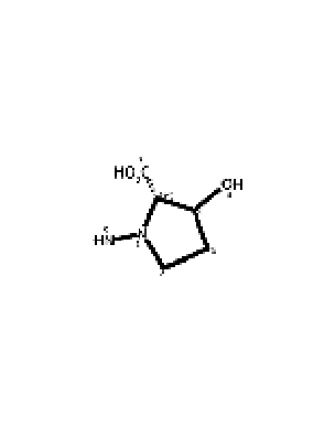 [NH]N1CCC(O)[C@H]1C(=O)O